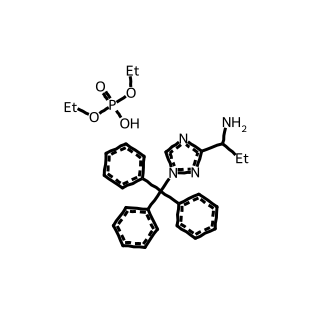 CCC(N)c1ncn(C(c2ccccc2)(c2ccccc2)c2ccccc2)n1.CCOP(=O)(O)OCC